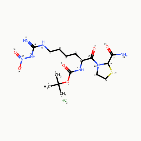 CC(C)(C)OC(=O)N[C@@H](CCCCNC(=N)N[N+](=O)[O-])C(=O)N1CCSC1C(N)=O.Cl